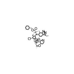 CCn1nnc2c(C)c([C@@H](c3cc(CN4C[C@@H](C)Oc5ccncc5S4(=O)=O)c(Cl)s3)C(C)(C)C(=O)OCc3ccccc3)ccc21